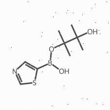 CC(C)(O)C(C)(C)OB(O)c1cncs1